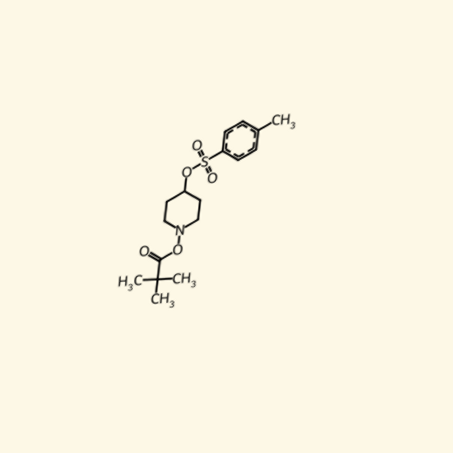 Cc1ccc(S(=O)(=O)OC2CCN(OC(=O)C(C)(C)C)CC2)cc1